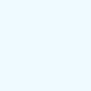 CS(=O)(=O)OCCN(CCCl)[C@@](C(=O)O)(C(=O)c1ccccc1)C(N)CC(=O)O